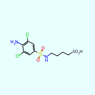 Nc1c(Cl)cc(S(=O)(=O)NCCCCS(=O)(=O)O)cc1Cl